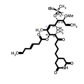 C=CCC=CCC(=O)O[C@@H](/C(C)=C\[C@@H](C)[C@H](O[Si](C)(C)C(C)(C)C)[C@H](C=C)OC)[C@H](C)C(=O)CCCC1CC(=O)NC(=O)C1